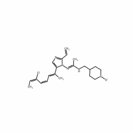 C=Cc1ncc(/C(C)=C/C=C\C(Cl)=C/C)n1/N=C(\C)NCC1CC[S+]([O-])CC1